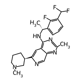 Cc1nc(N[C@H](C)c2cccc(C(F)F)c2F)c2cc([C@@H]3CCCN(C)C3)ncc2n1